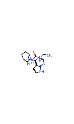 O=C(NCC(F)(F)F)N[C@@H]1C2CCC1N(c1ncnc3[nH]ccc13)C2